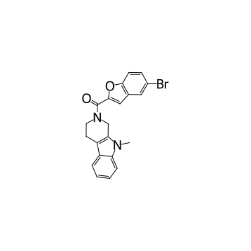 Cn1c2c(c3ccccc31)CCN(C(=O)c1cc3cc(Br)ccc3o1)C2